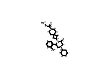 CC(C)c1ccccc1C1CN(C2CCCCC2)CC(=O)N1C1CC2(CCN(C(=O)OC(C)(C)C)CC2)C1